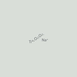 [Na+].[O-2].[O-2].[Ti+4]